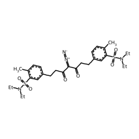 CCN(CC)S(=O)(=O)c1cc(CCC(=O)C(=[N+]=[N-])C(=O)CCc2ccc(C)c(S(=O)(=O)N(CC)CC)c2)ccc1C